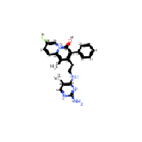 Cc1c(CCNc2nc(N)ncc2C#N)c(-c2ccccc2)c(=O)n2cc(F)ccc12